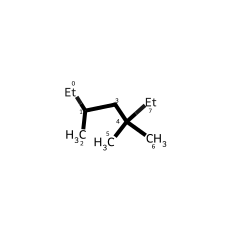 CC[C](C)CC(C)(C)CC